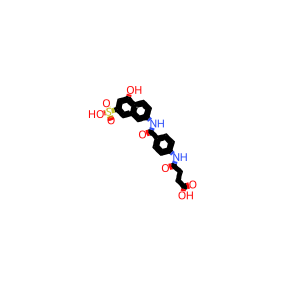 O=C(O)CCC(=O)Nc1ccc(C(=O)Nc2ccc3c(O)cc(S(=O)(=O)O)cc3c2)cc1